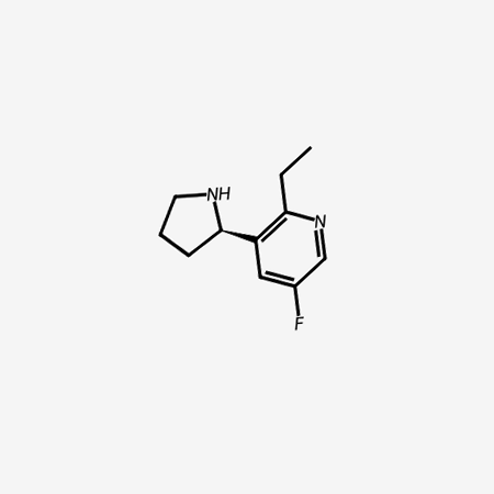 CCc1ncc(F)cc1[C@H]1CCCN1